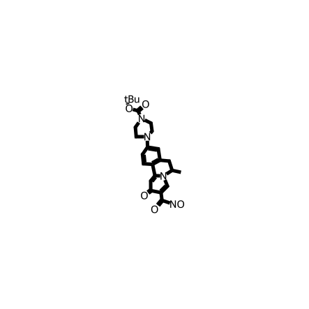 CC1Cc2cc(N3CCN(C(=O)OC(C)(C)C)CC3)ccc2-c2cc(=O)c(C(=O)N=O)cn21